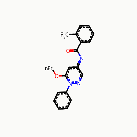 CCCOc1c/c(=N\C(=O)c2ccccc2C(F)(F)F)cnn1-c1ccccc1